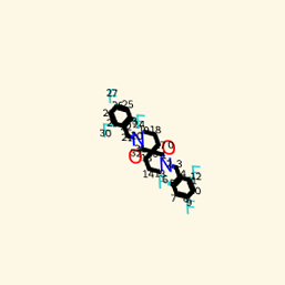 O=C1N(Cc2c(F)cc(F)cc2F)CCCC12CCCN(Cc1c(F)cc(F)cc1F)C2=O